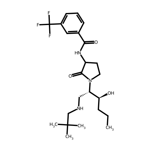 CCC[C@H](O)[C@H](CNCC(C)(C)C)N1CCC(NC(=O)c2cccc(C(F)(F)F)c2)C1=O